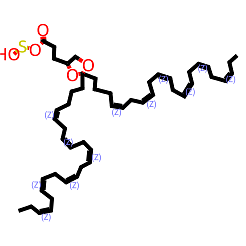 CC/C=C\C/C=C\C/C=C\C/C=C\C/C=C\C/C=C\CCCC1(CCC/C=C\C/C=C\C/C=C\C/C=C\C/C=C\C/C=C\CC)OCC(CCC(=O)OSO)O1